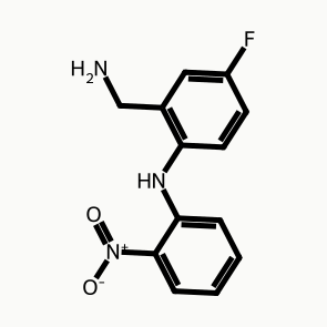 NCc1cc(F)ccc1Nc1ccccc1[N+](=O)[O-]